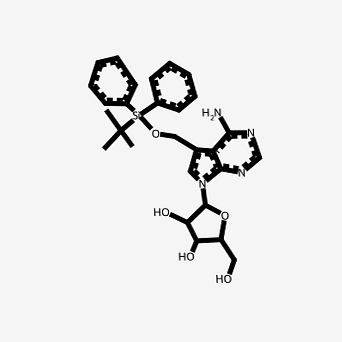 CC(C)(C)[Si](OCc1cn(C2OC(CO)C(O)C2O)c2ncnc(N)c12)(c1ccccc1)c1ccccc1